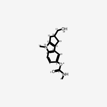 CNC(=O)Oc1ccc2c(c1)c1c(n2C)CC(CO)C1